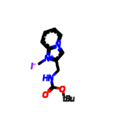 C[n+]1c(CNC(=O)OC(C)(C)C)cn2ccccc21.[I-]